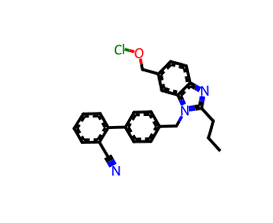 CCCc1nc2ccc(COCl)cc2n1Cc1ccc(-c2ccccc2C#N)cc1